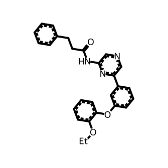 CCOc1ccccc1Oc1cccc(-c2cncc(NC(=O)CCc3ccccc3)n2)c1